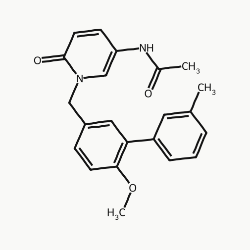 COc1ccc(Cn2cc(NC(C)=O)ccc2=O)cc1-c1cccc(C)c1